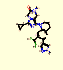 C=C(/C(=C\C1=C(C)CCCN1c1nc(C2CC2)n2c1CN(C)C(=O)C2)C(F)F)c1cnn(C)c1